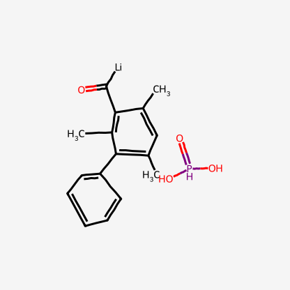 O=[PH](O)O.[Li][C](=O)c1c(C)cc(C)c(-c2ccccc2)c1C